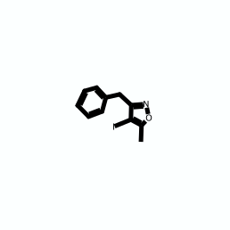 Cc1onc(Cc2ccccc2)c1I